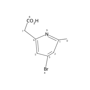 Cc1cc(Br)cc(CC(=O)O)n1